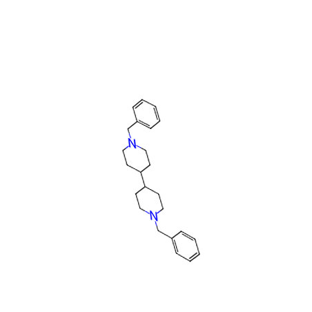 c1ccc(CN2CCC(C3CCN(Cc4ccccc4)CC3)CC2)cc1